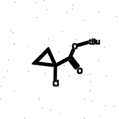 CC(C)(C)OC(=O)C1(Cl)CC1